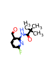 CC(C)(C)C(=O)Nc1nc(F)ccc1C=O